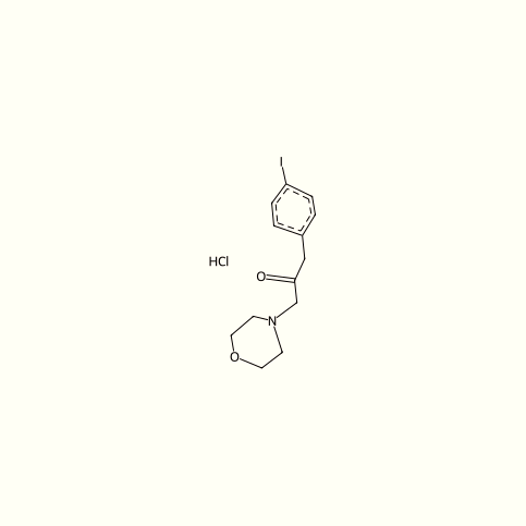 Cl.O=C(Cc1ccc(I)cc1)CN1CCOCC1